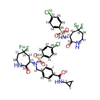 O=C(NC1CC1)c1ccc(CN([C@@H]2CC(F)(F)CCNC2=O)S(=O)(=O)c2ccc(Cl)cc2)cc1.O=C1NCCC(F)(F)C[C@H]1NS(=O)(=O)c1ccc(Cl)cc1